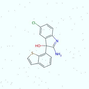 NC1=Nc2ccc(Cl)cc2C1(O)c1cccc2ccsc12